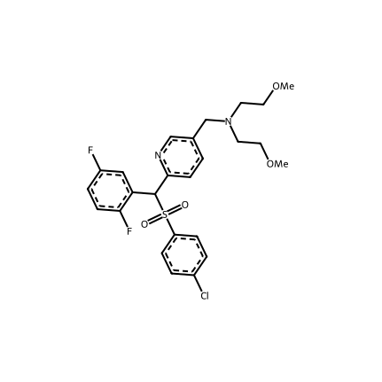 COCCN(CCOC)Cc1ccc(C(c2cc(F)ccc2F)S(=O)(=O)c2ccc(Cl)cc2)nc1